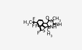 CN1C(=N)N[C@](C)(c2cc(F)c(F)s2)C(c2ccc(C(C)(F)F)cc2)C1=O